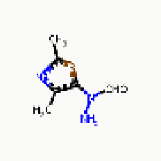 Cc1nc(C)c(N(N)C=O)s1